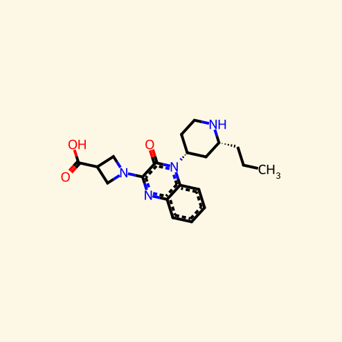 CCC[C@@H]1C[C@H](n2c(=O)c(N3CC(C(=O)O)C3)nc3ccccc32)CCN1